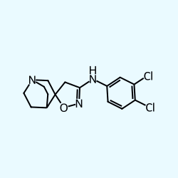 Clc1ccc(NC2=NOC3(C2)CN2CCC3CC2)cc1Cl